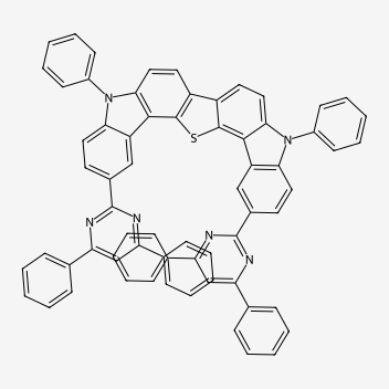 c1ccc(-c2cc(-c3ccccc3)nc(-c3ccc4c(c3)c3c5sc6c(ccc7c6c6cc(-c8nc(-c9ccccc9)cc(-c9ccccc9)n8)ccc6n7-c6ccccc6)c5ccc3n4-c3ccccc3)n2)cc1